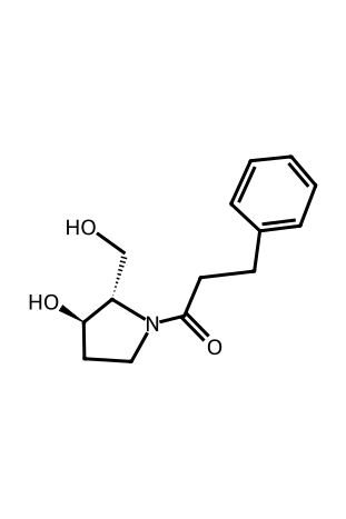 O=C(CCc1ccccc1)N1CC[C@@H](O)[C@@H]1CO